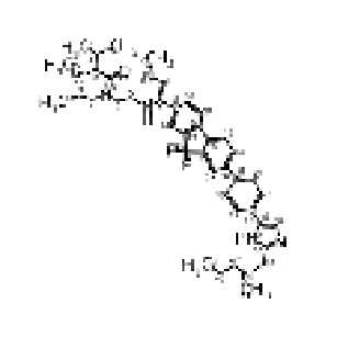 C=N/C=C(\NCCN(CCC)C(=O)C(OC)C(C)C)c1ccc2c(c1)C(F)(F)c1cc(-c3ccc(-c4cnc(CN(C)CCC)[nH]4)cc3)ccc1-2